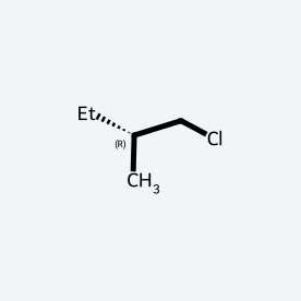 [CH2]C[C@@H](C)CCl